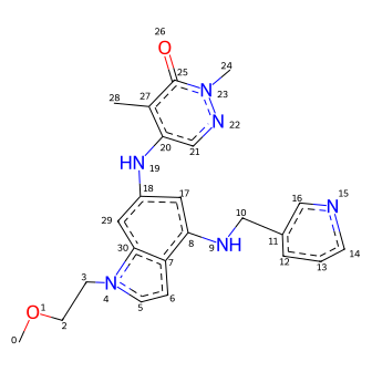 COCCn1ccc2c(NCc3cccnc3)cc(Nc3cnn(C)c(=O)c3C)cc21